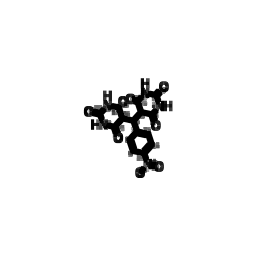 O=C1NC(=O)C(C(c2ccc([N+](=O)[O-])cc2)C2C(=O)NC(=O)NC2=O)C(=O)N1